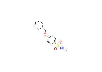 NS(=O)(=O)c1ccc(OCC2CCCCC2)cc1